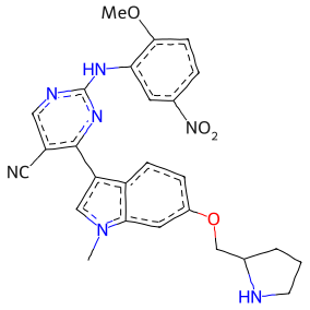 COc1ccc([N+](=O)[O-])cc1Nc1ncc(C#N)c(-c2cn(C)c3cc(OCC4CCCN4)ccc23)n1